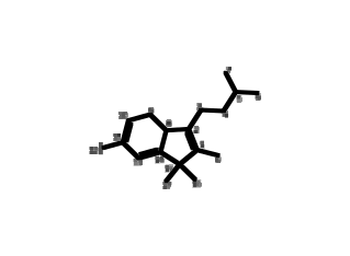 CC1=C(CCC(C)C)C2CC=C(I)C=C2C1(C)C